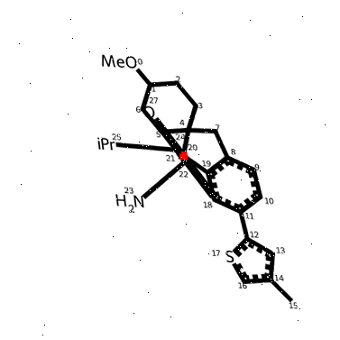 COC1CCC2(CC1)Cc1ccc(-c3cc(C)cs3)cc1C21N=C(N)N(C(C)C)C1=O